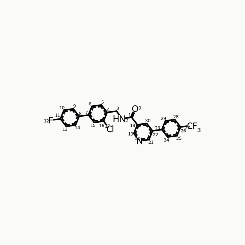 O=C(NCc1ccc(-c2ccc(F)cc2)cc1Cl)c1cncc(-c2ccc(C(F)(F)F)cc2)c1